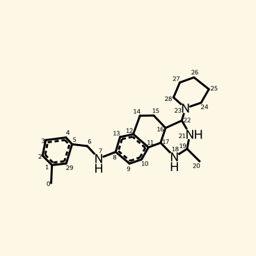 Cc1cccc(CNc2ccc3c(c2)CCC2C3NC(C)NC2N2CCCCC2)c1